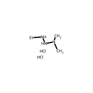 CCNNN(C)C.Cl.Cl